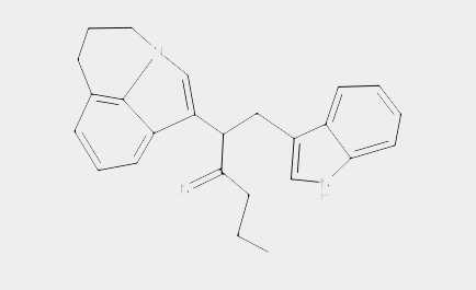 N=C(CCO)C(Cc1c[nH]c2ccccc12)c1cn2c3c(cccc13)CCC2